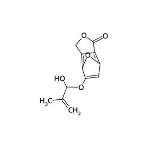 C=C(C)C(O)Oc1cc2oc1c1c2C(=O)OC1